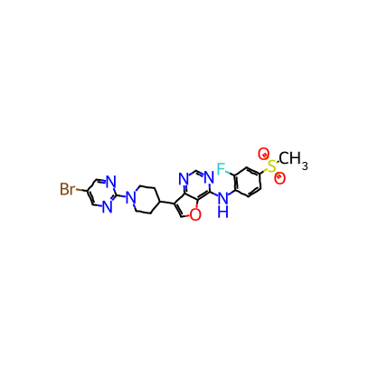 CS(=O)(=O)c1ccc(Nc2ncnc3c(C4CCN(c5ncc(Br)cn5)CC4)coc23)c(F)c1